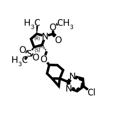 COC(=O)N1[C@H](C)C[C@H](S(C)(=O)=O)[C@H]1COC1CCC2(c3ncc(Cl)cn3)CC2C1